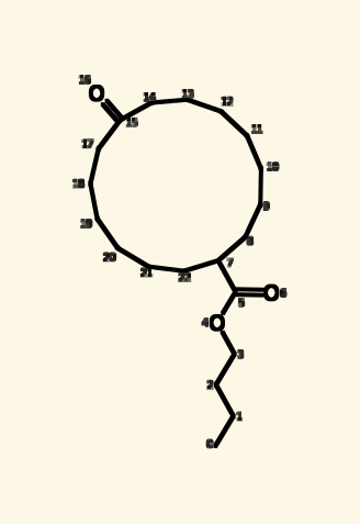 CCCCOC(=O)C1CCCCCCCC(=O)CCCCCC1